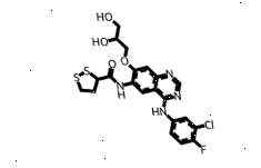 O=C(Nc1cc2c(Nc3ccc(F)c(Cl)c3)ncnc2cc1OCC(O)CO)C1CCSS1